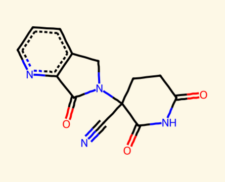 N#CC1(N2Cc3cccnc3C2=O)CCC(=O)NC1=O